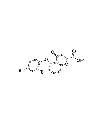 O=C(O)c1cc(=O)c2c(Oc3ccc(Br)cc3Br)cccc2o1